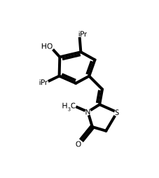 CC(C)c1cc(C=C2SCC(=O)N2C)cc(C(C)C)c1O